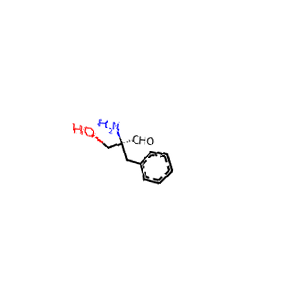 N[C@](C=O)(CO)Cc1ccccc1